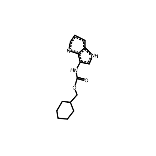 O=C(Nc1c[nH]c2cccnc12)OCC1CCCCC1